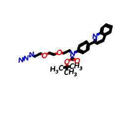 CC(C)(C)OC(=O)N(CCOCCOCCN=[N+]=[N-])c1ccc(-c2ccc3ccccc3n2)cc1